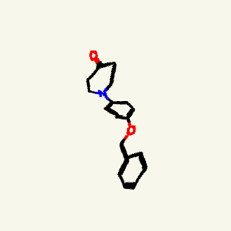 O=C1CCN(c2ccc(OCc3ccccc3)cc2)CC1